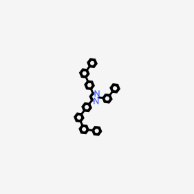 c1ccc(-c2cccc(-c3ccc(-c4cc(-c5ccc(-c6cccc(-c7cccc(-c8ccccc8)c7)c6)cc5)nc(-c5cccc(-c6ccccc6)c5)n4)cc3)c2)cc1